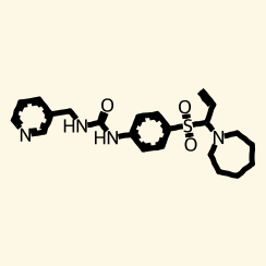 C=CC(N1CCCCCC1)S(=O)(=O)c1ccc(NC(=O)NCc2cccnc2)cc1